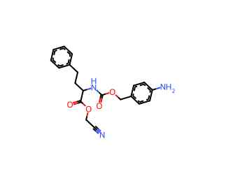 N#CCOC(=O)C(CCc1ccccc1)NC(=O)OCc1ccc(N)cc1